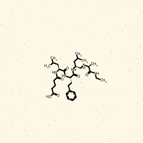 CCNC(=O)[C@H](C)NC[C@H](CC(C)C)NC(=O)[C@H](CCc1ccccc1)NC(=O)[C@H](CC(C)C)NC(=O)CCCC(=O)O